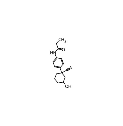 CCC(=O)Nc1ccc(C2(C#N)CCCC(O)C2)cc1